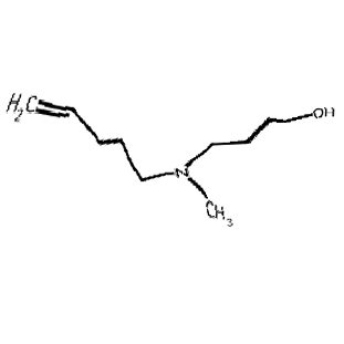 C=CCCCN(C)CCCO